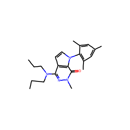 CCCN(CCC)c1nn(C)c(=O)c2c1ccn2-c1c(C)cc(C)cc1C